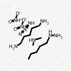 CCCCCNN.CNC.NCCCCCN.O=[NH+][O-].O=[NH+][O-].[N-]=[N+]=N